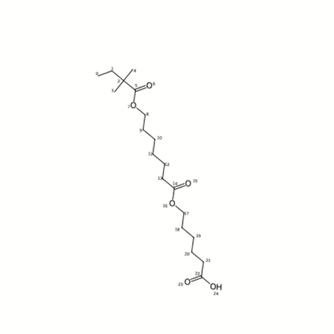 CCC(C)(C)C(=O)OCCCCCCC(=O)OCCCCCC(=O)O